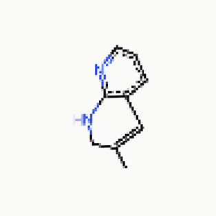 CC1=Cc2cccnc2NC1